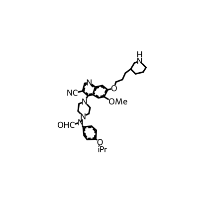 COc1cc2c(N3CCN(N(C=O)c4ccc(OC(C)C)cc4)CC3)c(C#N)cnc2cc1OCCCC1CCCNC1